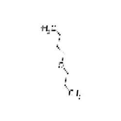 [CH2]CCCOCC[CH2]